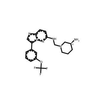 N[C@H]1CCCN(CNc2ccc3ncc(-c4cccc(OC(F)(F)F)c4)n3n2)C1